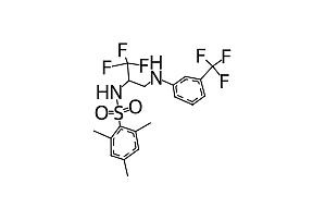 Cc1cc(C)c(S(=O)(=O)NC(CNc2cccc(C(F)(F)F)c2)C(F)(F)F)c(C)c1